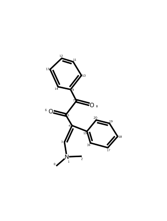 CN(C)/C=C(/C(=O)C(=O)c1ccccc1)c1ccccc1